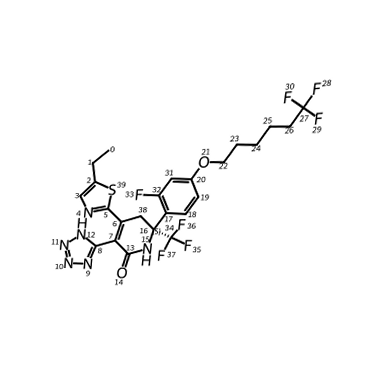 CCc1cnc(C2=C(c3nnn[nH]3)C(=O)N[C@@](c3ccc(OCCCCCC(F)(F)F)cc3F)(C(F)(F)F)C2)s1